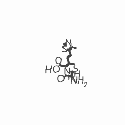 Cc1ncsc1C=CC1=C(C(=O)O)N2C(=O)[C@@H](N)[C@H]2SC1